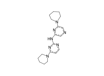 c1cc(N2CCCCC2)nc(Nc2cncc(N3CCCCC3)n2)n1